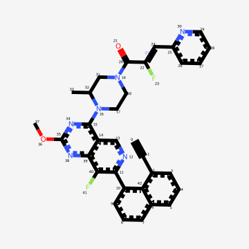 C#Cc1cccc2cccc(-c3ncc4c(N5CCN(C(=O)/C(F)=C/c6ccccn6)CC5C)nc(OC)nc4c3F)c12